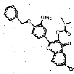 COc1cc(-c2oc3ccc(Br)cc3c(=O)c2OC(=O)N(C)C)ccc1OCc1ccccc1